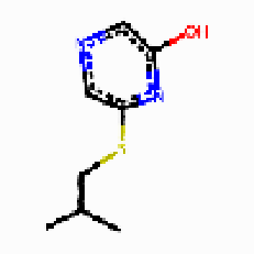 CC(C)CSc1cncc(O)n1